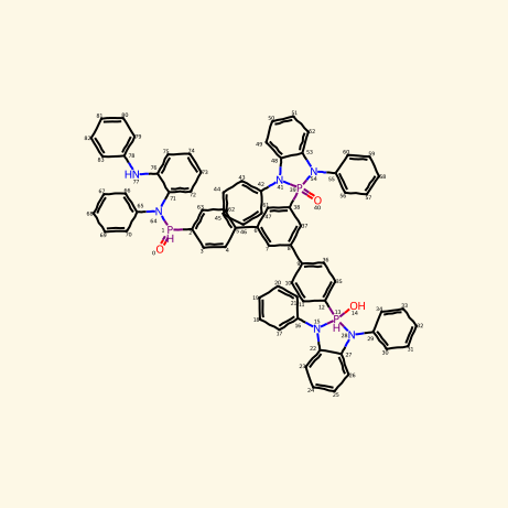 O=[PH](c1ccc(-c2cc(-c3ccc([PH]4(O)N(c5ccccc5)c5ccccc5N4c4ccccc4)cc3)cc(P3(=O)N(c4ccccc4)c4ccccc4N3c3ccccc3)c2)cc1)N(c1ccccc1)c1ccccc1Nc1ccccc1